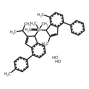 CC1=Cc2c(-c3ccccc3)ccc(C)c2[CH]1[Zr]([CH3])([CH3])(=[SiH2])[CH]1C(C(C)C)=Cc2c(-c3ccc(C)cc3)cccc21.Cl.Cl